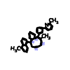 Cc1cccc(-c2cccc(/C3=c4\cccc\c4=C(/c4cccc5c(C)cccc45)C/C=C\C=C/C3C)c2)n1